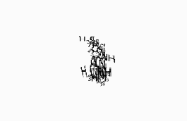 Cc1nc2ccc(-c3n[nH]c4nc(N5[C@@H]6CCC[C@H]5CC6)c(C)nc34)c(Cl)c2s1